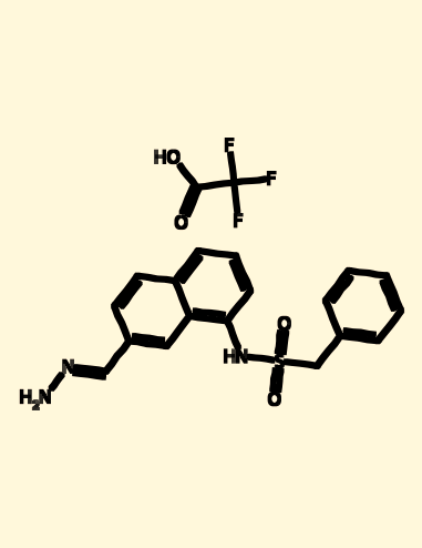 NN=Cc1ccc2cccc(NS(=O)(=O)Cc3ccccc3)c2c1.O=C(O)C(F)(F)F